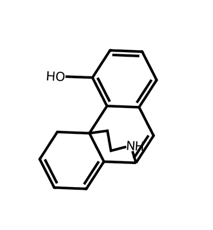 Oc1cccc2c1C13CC=CC=C1C(=C2)NCC3